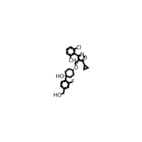 Cc1cccc(Cl)c1-c1noc(C2CC2)c1CO[C@H]1CC[C@](O)(c2ccc(CO)cc2F)CC1